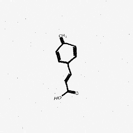 C=C1C=CC(/C=C/C(=O)O)C=C1